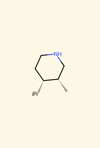 CC(C)[C@@H]1CCNC[C@@H]1C